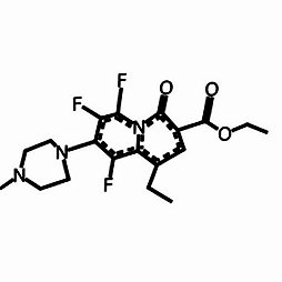 CCOC(=O)c1cc(CC)c2c(F)c(N3CCN(C)CC3)c(F)c(F)n2c1=O